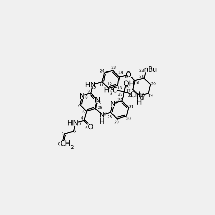 C=CCNC(=O)c1cnc(Nc2ccc(OC3CNCCC3CCCC)cc2)nc1Nc1cccc(C(C)(C)O)n1